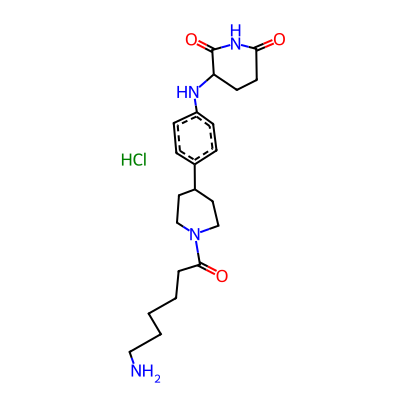 Cl.NCCCCCC(=O)N1CCC(c2ccc(NC3CCC(=O)NC3=O)cc2)CC1